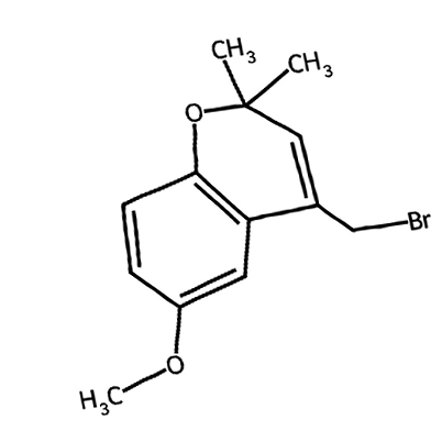 COc1ccc2c(c1)C(CBr)=CC(C)(C)O2